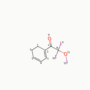 O=C(C1=CC=CCC1)C(I)(I)OI